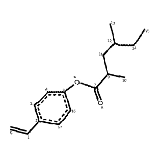 C=Cc1ccc(OC(=O)C(C)CC(C)CC)cc1